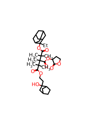 CCC1(OC(=O)C(C)(C)C(C)(C(=O)OC2CCOC2=O)C(C)(C)C(=O)OCCC2(O)CC3CCC2C3)C2CC3CC(C2)CC1C3